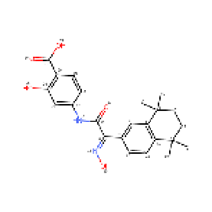 CC1(C)CCC(C)(C)c2cc(/C(=N\O)C(=O)Nc3ccc(C(=O)O)c(O)c3)ccc21